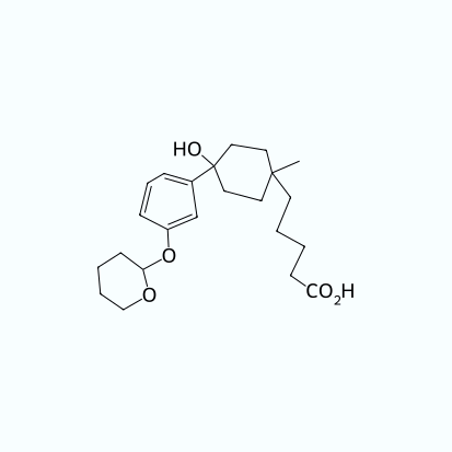 CC1(CCCCC(=O)O)CCC(O)(c2cccc(OC3CCCCO3)c2)CC1